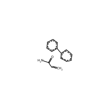 C=CC(N)=O.c1ccc(-c2ccccc2)cc1